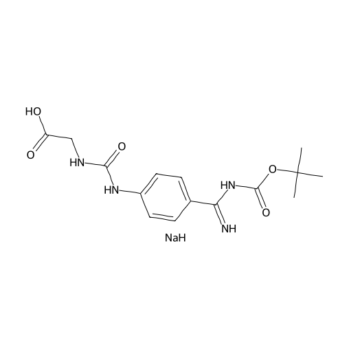 CC(C)(C)OC(=O)NC(=N)c1ccc(NC(=O)NCC(=O)O)cc1.[NaH]